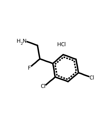 Cl.NCC(F)c1ccc(Cl)cc1Cl